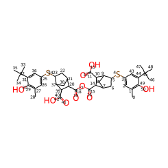 Cc1cc(SC2CC3CC2C(C(=O)O)C3C(=O)OC(=O)C2C3CC(Sc4cc(C)c(O)c(C(C)(C)C)c4)C(C3)C2C(=O)O)cc(C(C)(C)C)c1O